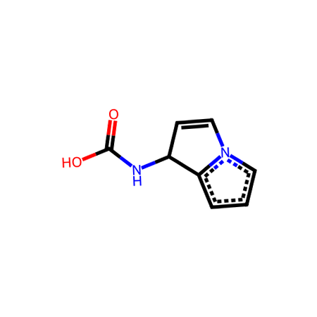 O=C(O)NC1C=Cn2cccc21